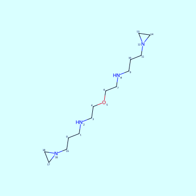 C(CNCCOCCNCCCN1CC1)CN1CC1